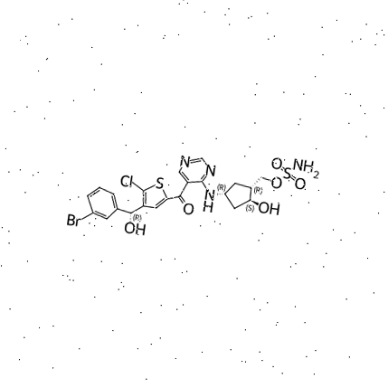 NS(=O)(=O)OC[C@H]1C[C@@H](Nc2ncncc2C(=O)c2cc([C@H](O)c3cccc(Br)c3)c(Cl)s2)C[C@@H]1O